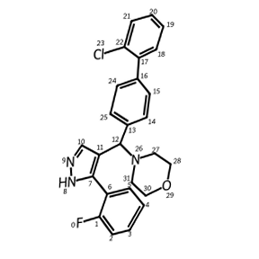 Fc1ccccc1-c1[nH]ncc1C(c1ccc(-c2ccccc2Cl)cc1)N1CCOCC1